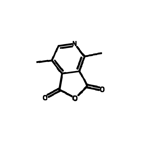 Cc1cnc(C)c2c1C(=O)OC2=O